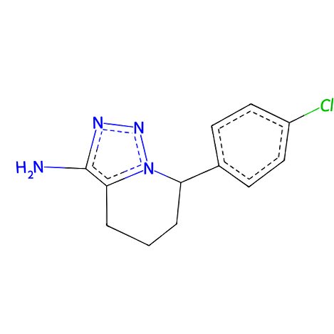 Nc1nnn2c1CCCC2c1ccc(Cl)cc1